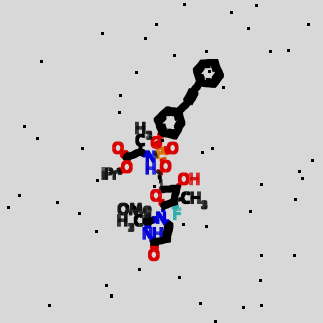 COC1(C)NC(=O)C=CN1[C@@H]1O[C@H](COP(=O)(N[C@@H](C)C(=O)OC(C)C)Oc2ccc(C#Cc3ccccc3)cc2)[C@@H](O)[C@@]1(C)F